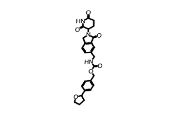 O=C1CCC(N2Cc3ccc(CNC(=O)OCc4ccc(C5CCCO5)cc4)cc3C2=O)C(=O)N1